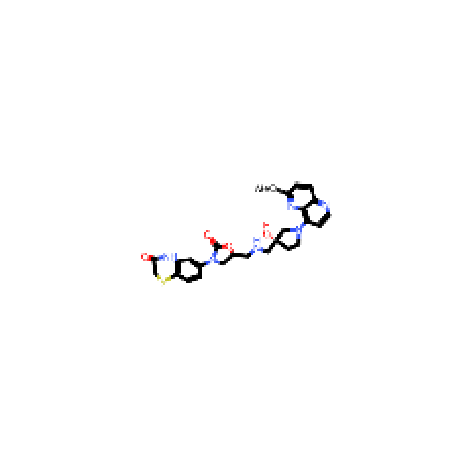 COc1ccc2nccc(N3CC[C@@](O)(CNCC4CN(c5ccc6c(c5)NC(=O)CS6)C(=O)O4)C3)c2n1